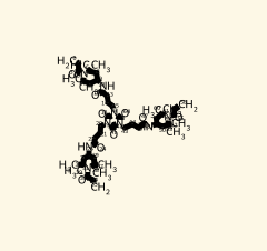 C=CC(=O)N1C(C)(C)CC(NC(=O)CCCn2c(=O)n(CCCC(=O)NC3CC(C)(C)N(C(=O)C=C)C(C)(C)C3)c(=O)n(CCCC(=O)NC3CC(C)(C)N(C(=O)C=C)C(C)(C)C3)c2=O)CC1(C)C